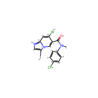 CN(C(=O)c1cn2c(I)cnc2cc1Br)c1ccc(Cl)cc1